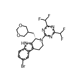 FC(F)c1nc(C(F)F)nc(N2CCc3c([nH]c4ccc(Br)cc34)[C@@H]2CC2COCOC2)n1